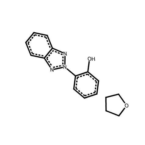 C1CCOC1.Oc1ccccc1-n1nc2ccccc2n1